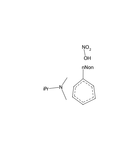 CC(C)N(C)C.CCCCCCCCCc1ccccc1.O=[N+]([O-])O